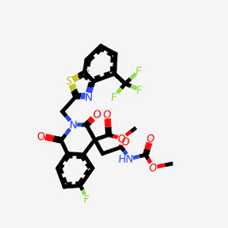 COC(=O)NC(=O)CC1(C(=O)OC)C(=O)N(Cc2nc3c(C(F)(F)F)cccc3s2)C(=O)c2ccc(F)cc21